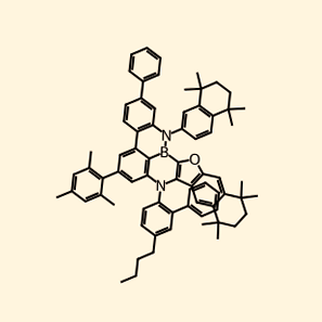 CCCCc1ccc(N2c3cc(-c4c(C)cc(C)cc4C)cc4c3B(c3oc5cc6c(cc5c32)C(C)(C)CCC6(C)C)N(c2ccc3c(c2)C(C)(C)CCC3(C)C)c2cc(-c3ccccc3)ccc2-4)c(-c2ccccc2)c1